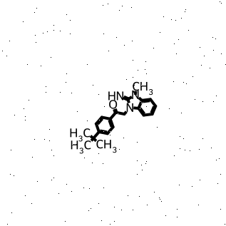 Cn1c(=N)n(CC(=O)c2ccc(C(C)(C)C)cc2)c2ccccc21